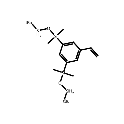 C=Cc1cc([Si](C)(C)O[SiH2]C(C)(C)C)cc([Si](C)(C)O[SiH2]C(C)(C)C)c1